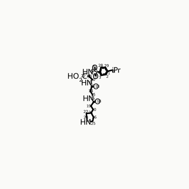 CC(C)c1ccc(S(=O)(=O)N[C@@H](CNC(=O)CCNC(=O)CCC2CCNCC2)C(=O)O)cc1